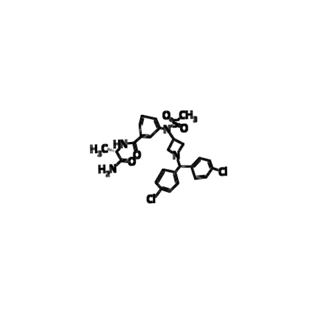 C[C@H](NC(=O)c1cccc(N(C2CN(C(c3ccc(Cl)cc3)c3ccc(Cl)cc3)C2)S(C)(=O)=O)c1)C(N)=O